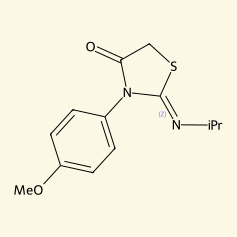 COc1ccc(N2C(=O)CS/C2=N\C(C)C)cc1